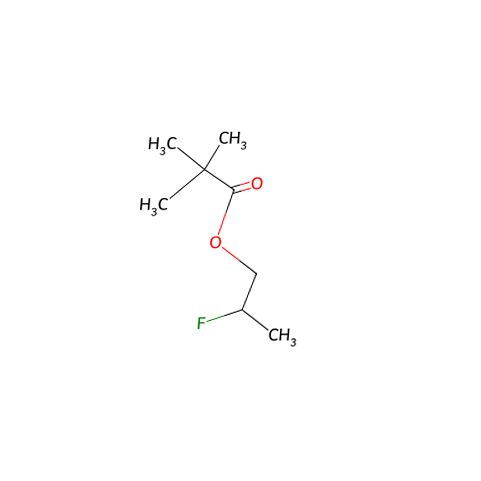 CC(F)COC(=O)C(C)(C)C